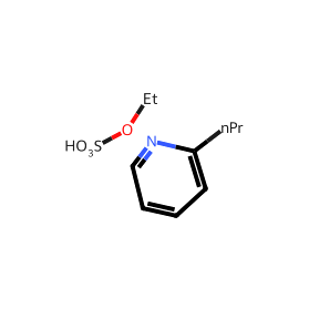 CCCc1ccccn1.CCOS(=O)(=O)O